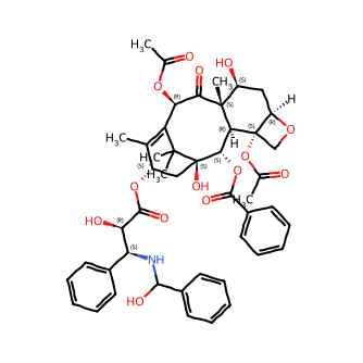 CC(=O)O[C@H]1C(=O)[C@@]2(C)[C@H]([C@H](OC(=O)c3ccccc3)[C@]3(O)C[C@H](OC(=O)[C@H](O)[C@@H](NC(O)c4ccccc4)c4ccccc4)C(C)=C1C3(C)C)[C@]1(OC(C)=O)CO[C@@H]1C[C@@H]2O